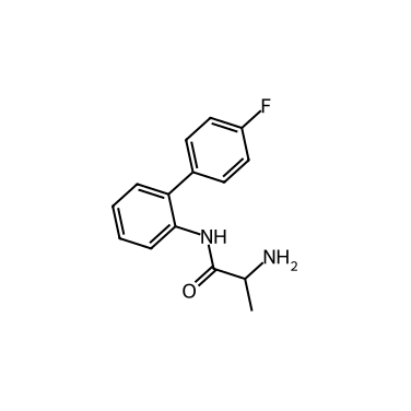 CC(N)C(=O)Nc1ccccc1-c1ccc(F)cc1